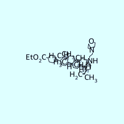 C=C(C)[C@@H]1CC[C@]2(NCCN3CC4CC3CO4)CC[C@]3(C)[C@H](CC[C@@H]4[C@@]5(C)CC=C(C6=CCC(C(=O)OCC)CC6)C(C)(C)[C@@H]5CC[C@]43C)[C@@H]12